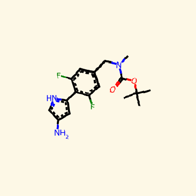 CN(Cc1cc(F)c(-c2cc(N)c[nH]2)c(F)c1)C(=O)OC(C)(C)C